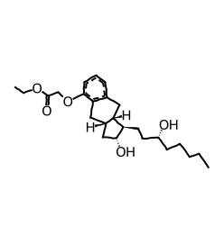 CCCCC[C@@H](O)CC[C@@H]1[C@H]2Cc3cccc(OCC(=O)OCC)c3C[C@H]2C[C@H]1O